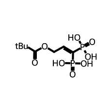 CC(C)(C)C(=O)OCC=C(P(=O)(O)O)P(=O)(O)O